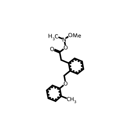 CON(C)OC(=O)Cc1ccccc1COc1ccccc1C